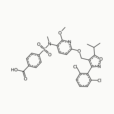 COc1nc(OCc2c(-c3c(Cl)cccc3Cl)noc2C(C)C)ccc1N(C)S(=O)(=O)c1ccc(C(=O)O)cc1